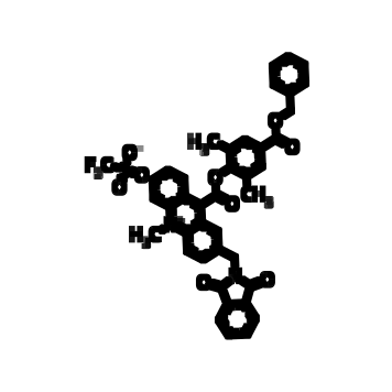 Cc1cc(C(=O)OCc2ccccc2)cc(C)c1OC(=O)c1c2ccccc2[n+](C)c2ccc(CN3C(=O)c4ccccc4C3=O)cc12.O=S(=O)([O-])C(F)(F)F